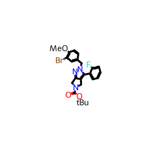 COc1ccc(Cn2nc3c(c2-c2ccccc2F)CN(C(=O)OC(C)(C)C)C3)cc1Br